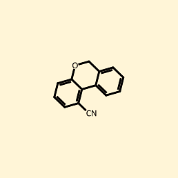 N#Cc1cccc2c1-c1ccccc1CO2